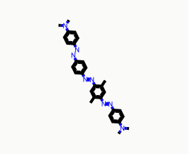 Cc1cc(N=Nc2ccc(N(C)C)cc2)c(C)cc1N=Nc1ccc(N=Nc2ccc(N(C)C)cc2)cc1